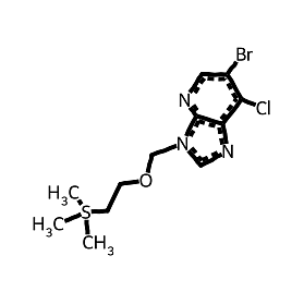 CS(C)(C)CCOCn1cnc2c(Cl)c(Br)cnc21